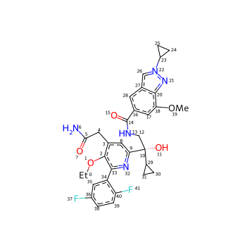 CCOc1c(CC(N)=O)cc([C@@](O)(CNC(=O)c2cc(OC)c3nn(C4CC4)cc3c2)C2CC2)nc1-c1cc(F)ccc1F